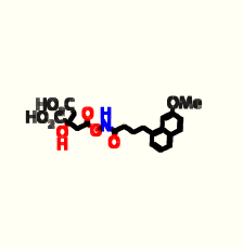 COc1ccc2cccc(CCCC(=O)NOC(=O)CC(O)(CC(=O)O)C(=O)O)c2c1